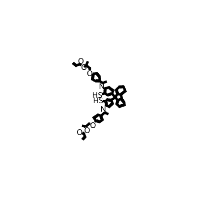 C=CC(=O)OC(C)COc1ccc(/C(C)=N/c2ccc(C3(c4ccc(/N=C(\C)c5ccc(OCC(C)OC(=O)C=C)cc5)c(S)c4)c4ccccc4-c4ccccc43)cc2S)cc1